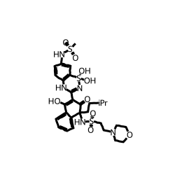 CC(C)CCC1(NS(=O)(=O)CCN2CCOCC2)C(=O)C(C2=NS(O)(O)c3cc(NS(C)(=O)=O)ccc3N2)=C(O)c2ccccc21